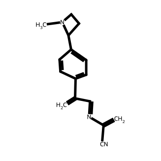 C=C(C#N)/N=C/C(=C)c1ccc(C2CCN2C)cc1